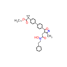 CCOC(=O)C1(c2ccc(-c3ccc(-c4onc(C)c4CC(=O)N(O)CCc4ccccc4)cc3)cc2)CC1